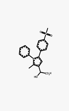 Cc1c(C(O)C(=O)O)cc(-c2ccc(S(C)(=O)=O)cc2)n1-c1ccccc1